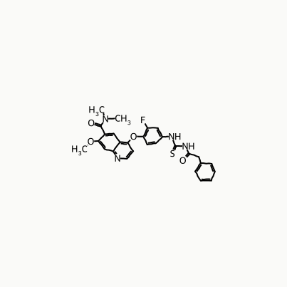 COc1cc2nccc(Oc3ccc(NC(=S)NC(=O)Cc4ccccc4)cc3F)c2cc1C(=O)N(C)C